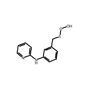 OOSCc1cccc(Nc2ccccn2)c1